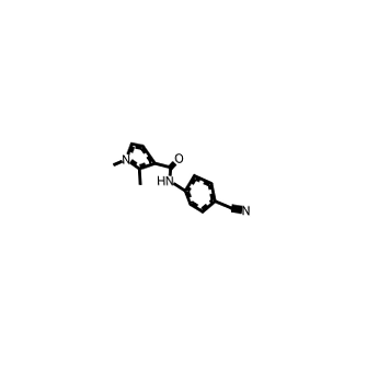 Cc1c(C(=O)Nc2ccc(C#N)cc2)ccn1C